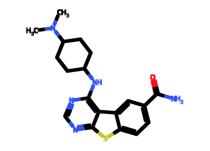 CN(C)C1CCC(Nc2ncnc3sc4ccc(C(N)=O)cc4c23)CC1